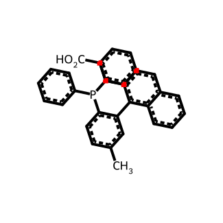 Cc1ccc(P(c2ccccc2)c2ccccc2)c(-c2c(CCC(=O)O)ccc3ccccc23)c1